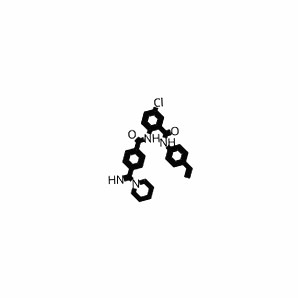 C=Cc1ccc(NC(=O)c2cc(Cl)ccc2NC(=O)c2ccc(C(=N)N3CCCCC3)cc2)cc1